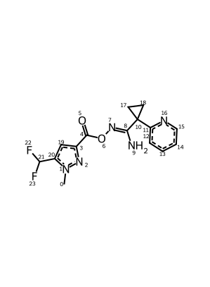 Cn1nc(C(=O)O/N=C(\N)C2(c3ccccn3)CC2)cc1C(F)F